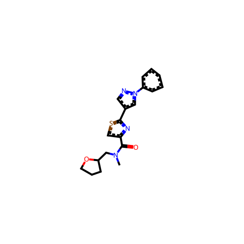 CN(CC1CCCO1)C(=O)c1csc(-c2cnn(-c3ccccc3)c2)n1